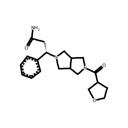 NC(=O)C[C@@H](c1ccccc1)N1CC2CN(C(=O)C3CCOC3)CC2C1